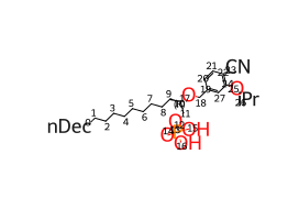 CCCCCCCCCCCCCCCCCCC[C@H](COP(=O)(O)O)OCc1ccc(C#N)c(OC(C)C)c1